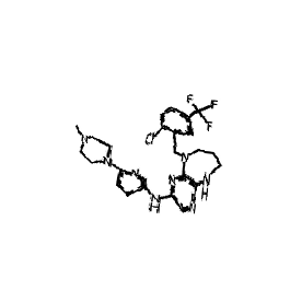 CN1CCN(c2ccc(Nc3cnc4c(n3)N(Cc3cc(C(F)(F)F)ccc3Cl)CCCN4)cn2)CC1